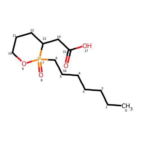 CCCCCCCP1(=O)OCCCC1CC(=O)O